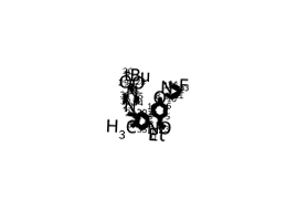 CCN(C(=O)C1CCC(Oc2ccc(F)cn2)CC1)c1ccc(CN2CCN(C(=O)OC(C)(C)C)CC2)c(C)c1